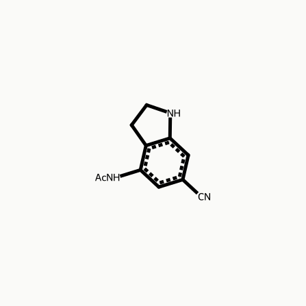 CC(=O)Nc1cc(C#N)cc2c1CCN2